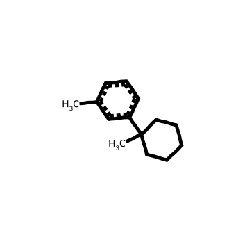 Cc1[c]ccc(C2(C)CCCCC2)c1